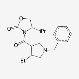 CCC1CN(Cc2ccccc2)CC1C(=O)N1C(=O)OCC1C(C)C